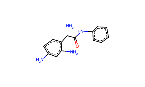 N.Nc1ccc(CC(=O)Nc2ccccc2)c(N)c1